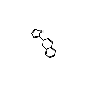 C1=CC(c2ccc[nH]2)Cc2ccccc21